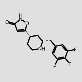 O=c1cc([C@H]2CCN[C@@H](Cc3cc(F)c(F)c(F)c3)C2)o[nH]1